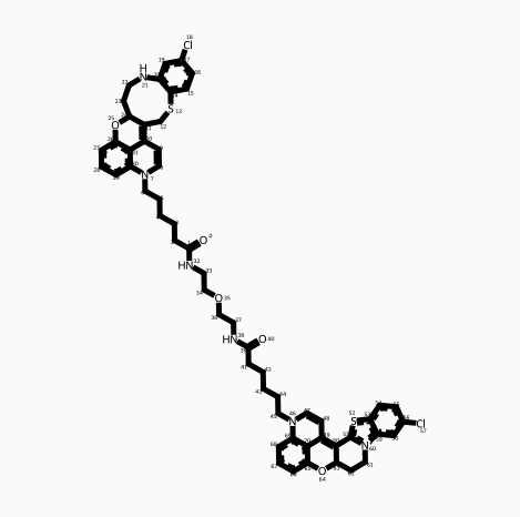 O=C(CCCCCN1C=CC2=C3CSc4ccc(Cl)cc4NCCC3Oc3cccc1c32)NCCOCCNC(=O)CCCCCN1C=CC2=C3c4sc5ccc(Cl)cc5[n+]4CCC3Oc3cccc1c32